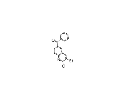 CCc1cc2cc(C(=O)c3ccccc3)ccc2nc1Cl